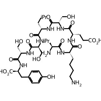 CC(C)C[C@H](NC(=O)[C@H](CO)NC(=O)[C@H](CCC(=O)O)NC(=O)[C@H](CCCCN)NC(=O)[C@@H](N)C(C)C)C(=O)N[C@@H](CO)C(=O)N[C@@H](CO)C(=O)N[C@@H](Cc1ccc(O)cc1)C(=O)O